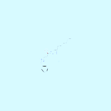 CCCCCCCCNC(=O)CC[N+](C)(C)Cc1ccccc1.[F-]